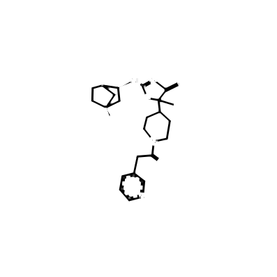 CC1(C2CCN(C(=O)Cc3cccnc3)CC2)SC(N[C@H]2C[C@@H]3CCC2C3)=NC1=O